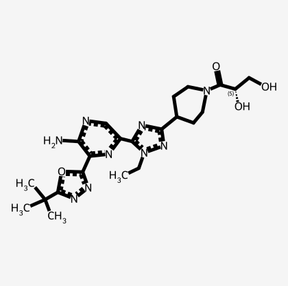 CCn1nc(C2CCN(C(=O)[C@@H](O)CO)CC2)nc1-c1cnc(N)c(-c2nnc(C(C)(C)C)o2)n1